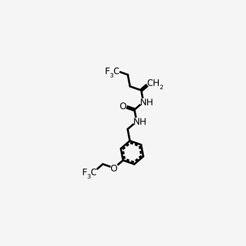 C=C(CCC(F)(F)F)NC(=O)NCc1cccc(OCC(F)(F)F)c1